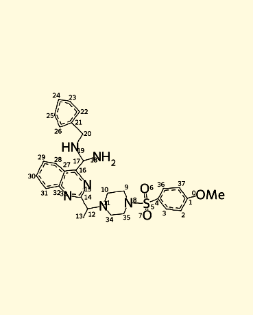 COc1ccc(S(=O)(=O)N2CCN(C(C)c3nc(C(N)NCc4ccccc4)c4ccccc4n3)CC2)cc1